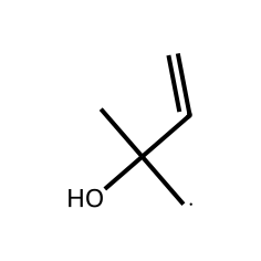 [CH2]C(C)(O)C=C